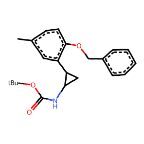 Cc1ccc(OCc2ccccc2)c(C2CC2NC(=O)OC(C)(C)C)c1